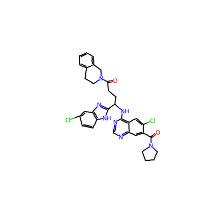 O=C(CCC(Nc1ncnc2cc(C(=O)N3CCCC3)c(Cl)cc12)c1nc2cc(Cl)ccc2[nH]1)N1CCc2ccccc2C1